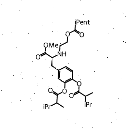 CCCC(C)C(=O)OCCN[C@@H](Cc1ccc(OC(=O)C(C)C(C)C)c(OC(=O)C(C)C(C)C)c1)C(=O)OC